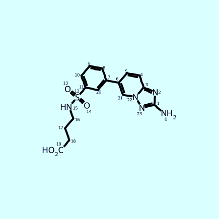 Nc1nc2ccc(-c3cccc(S(=O)(=O)NCCCC(=O)O)c3)cn2n1